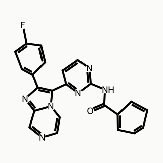 O=C(Nc1nccc(-c2c(-c3ccc(F)cc3)nc3cnccn23)n1)c1ccccc1